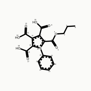 CCCOC(=O)c1c(C(=O)O)c(C(=O)O)c(C(=O)O)n1-c1ccccc1